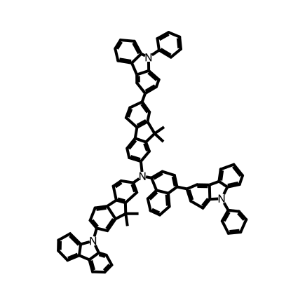 CC1(C)c2cc(-c3ccc4c(c3)c3ccccc3n4-c3ccccc3)ccc2-c2ccc(N(c3ccc4c(c3)C(C)(C)c3cc(-n5c6ccccc6c6ccccc65)ccc3-4)c3ccc(-c4ccc5c(c4)c4ccccc4n5-c4ccccc4)c4ccccc34)cc21